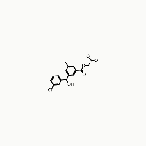 Cc1cc(C(=O)OC[SH](=O)=O)cc(C(O)c2cccc(Cl)c2)c1